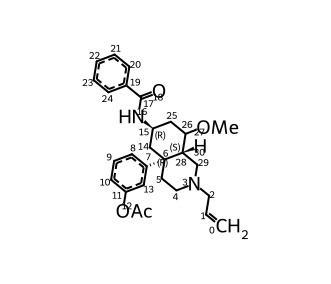 C=CCN1CC[C@@]2(c3cccc(OC(C)=O)c3)C[C@@H](NC(=O)c3ccccc3)CC(OC)[C@@H]2C1